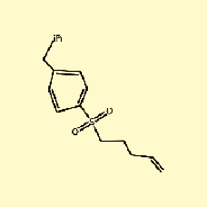 C=CCCCS(=O)(=O)c1ccc(CC(C)C)cc1